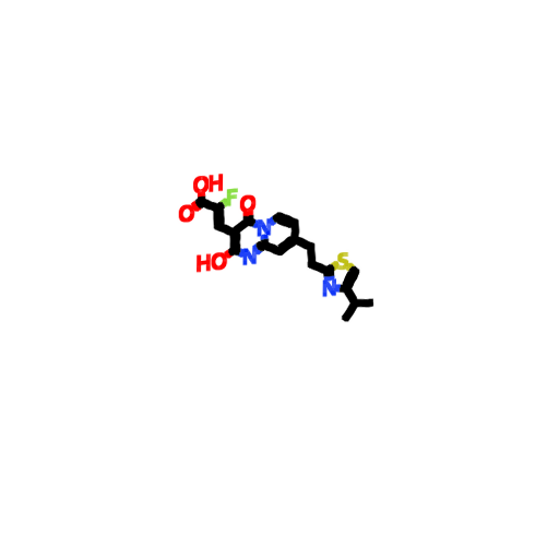 CC(C)c1csc(CCc2ccn3c(=O)c(C=C(F)C(=O)O)c(O)nc3c2)n1